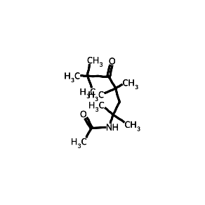 CC(=O)NC(C)(C)CC(C)(C)C(=O)C(C)(C)C